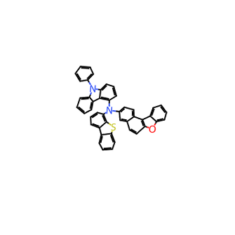 c1ccc(-n2c3ccccc3c3c(N(c4ccc5c(ccc6oc7ccccc7c65)c4)c4cccc5c4sc4ccccc45)cccc32)cc1